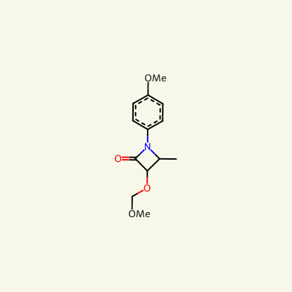 COCOC1C(=O)N(c2ccc(OC)cc2)C1C